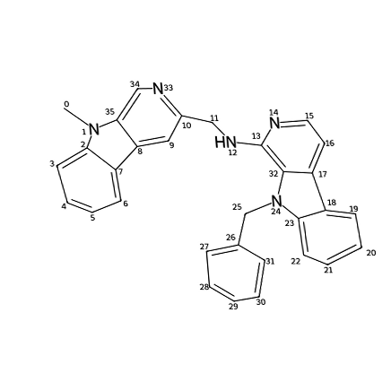 Cn1c2ccccc2c2cc(CNc3nccc4c5ccccc5n(Cc5ccccc5)c34)ncc21